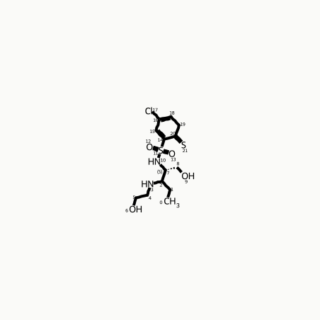 CCC(NCCO)[C@@H](CO)NS(=O)(=O)C1=CC(Cl)=CCC1=S